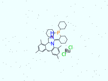 Cc1cc(C)c(C2CNC(=C3CCCCC3P(C3CCCCC3)C3CCCCC3)N2c2c(C)cc(C)cc2C)c(C)c1.[Cl][Ru][Cl]